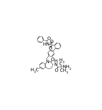 Cc1ccc2c(c1)CC[C@@H](NC(=O)C(C)(C)N)C(=O)N2Cc1ccc(-c2ccccc2S(=O)(=O)NC(=O)c2ccccc2)cc1